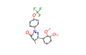 COc1cccc(-c2cn(-c3ccc(OC(F)(F)F)cc3)c(=O)cc2C)c1OC